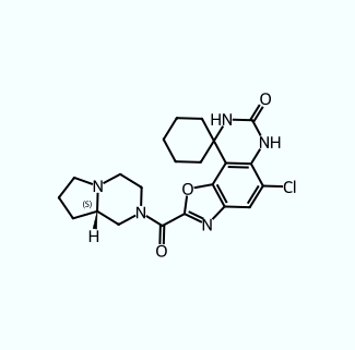 O=C1Nc2c(Cl)cc3nc(C(=O)N4CCN5CCC[C@H]5C4)oc3c2C2(CCCCC2)N1